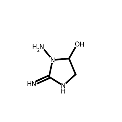 N=C1NCC(O)N1N